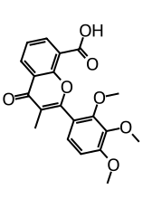 COc1ccc(-c2oc3c(C(=O)O)cccc3c(=O)c2C)c(OC)c1OC